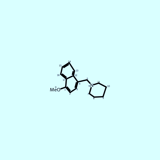 COc1ccc(CN2CCCCC2)c2ccccc12